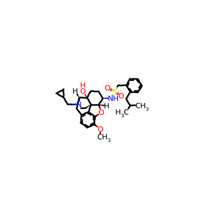 COc1ccc2c3c1O[C@H]1[C@H](NS(=O)(=O)Cc4ccccc4CC(C)C)CC[C@@]4(O)[C@@H](C2)N(CC2CC2)CC[C@]314